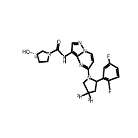 [2H]C1([2H])CC(c2cc(F)ccc2F)N(c2ccn3ncc(NC(=O)N4CC[C@H](O)C4)c3n2)C1